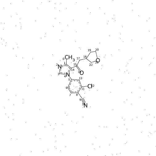 Cc1ncn(-c2ccc(C#N)c(Cl)c2)c1C(=O)CC1CCOC1